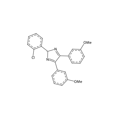 COc1cccc(C2=N[C](c3ccccc3Cl)N=C2c2cccc(OC)c2)c1